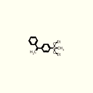 C=C(c1ccccc1)c1ccc([Si](C)(OCC)OCC)cc1